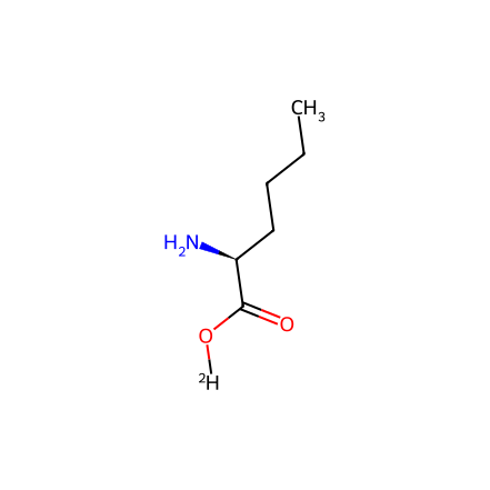 [2H]OC(=O)[C@@H](N)CCCC